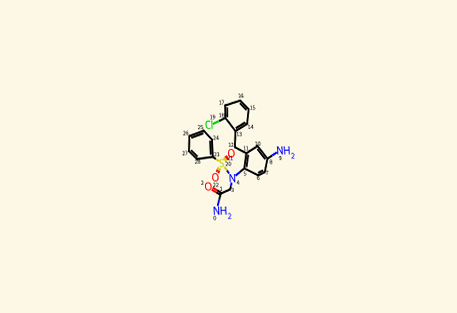 NC(=O)CN(c1ccc(N)cc1Cc1ccccc1Cl)S(=O)(=O)c1ccccc1